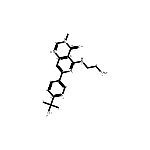 CSCCNc1nc(-c2ccc(C(C)(C)O)nc2)cc2ncn(C)c(=O)c12